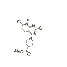 COC(=O)C1CCN(c2nc(Cl)nc3c2C=CC(Cl)N3F)CC1